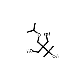 CC(C)OCC(CO)(CO)C(C)(C)O